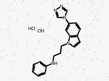 Cl.Cl.c1ccc(NCCCn2ccc3ccc(-n4cnnc4)cc32)cc1